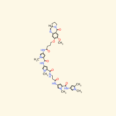 COc1cc2c(cc1OCCCC(=O)Nc1cc(C(=O)Nc3cc(C(=O)NCCC(=O)Nc4cc(C(=O)Nc5cc(C)n(C)c5)n(C)c4)n(C)c3)n(C)c1)N=C[C@@H]1CCCN1C2=O